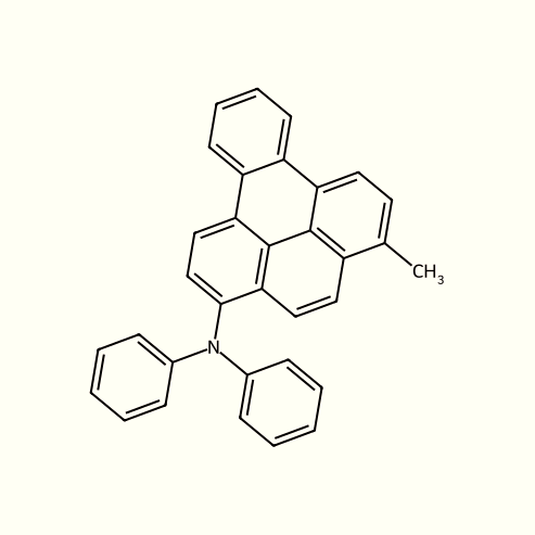 Cc1ccc2c3ccccc3c3ccc(N(c4ccccc4)c4ccccc4)c4ccc1c2c43